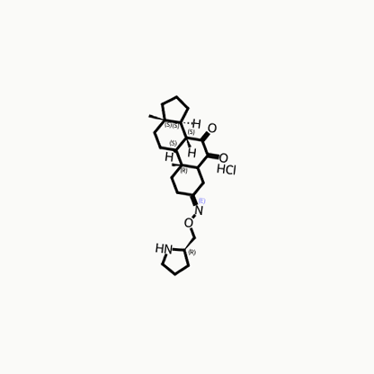 C[C@@]12CCC[C@H]1[C@@H]1C(=O)C(=O)C3C/C(=N/OC[C@H]4CCCN4)CC[C@]3(C)[C@H]1CC2.Cl